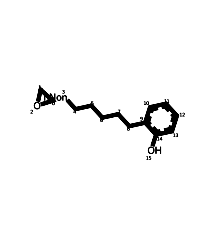 C1CO1.CCCCCCCCCCCCCCc1ccccc1O